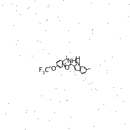 Cc1ccc2cc(C(=O)NC(C)c3ccc(OCC(F)(F)F)cn3)[nH]c2c1